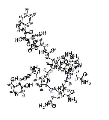 C/C1=C2N=C(/C=C3N=C(/C(C)=C4/[C@@H](CCC(N)=O)[C@](C)(CC(N)=O)[C@](C)([C@@H]5N=C1[C@](C)(CCC(=O)NCC(C)OP(=O)([O-])O[C@H]1[C@@H](O)[C@@H](n6cnc7cc(C)c(C)cc76)O[C@@H]1CO)[C@H]5CC(N)=O)[N]4[Co+][C]#N)[C@@](C)(CC(N)=O)[C@@H]\3CCC(N)=O)C(C)(C)[C@@H]/2CCC(N)=O.Cc1ncc(CO)c(C=O)c1O